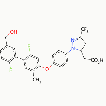 Cc1cc(-c2cc(CO)ccc2F)c(F)cc1Oc1ccc(N2N=C(C(F)(F)F)CC2CC(=O)O)cc1